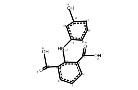 O=C(O)c1cccc(C(=O)O)c1Nc1cccc(O)c1